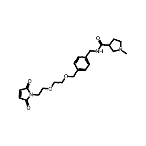 CN1CCC(C(=O)NCc2ccc(COCCOCCN3C(=O)C=CC3=O)cc2)C1